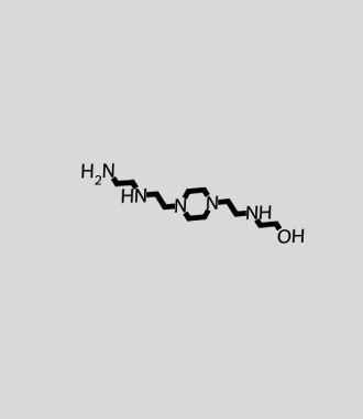 NCCNCCN1CCN(CCNCCO)CC1